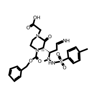 Cc1ccc(S(=O)(=O)NN(C)C(CC=N)[C@H]2C(=O)N(CC(=O)O)CCN2C(=O)OCc2ccccc2)cc1